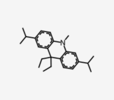 CCC1(CC)c2ccc(C(C)C)cc2N(C)c2ccc(C(C)C)cc21